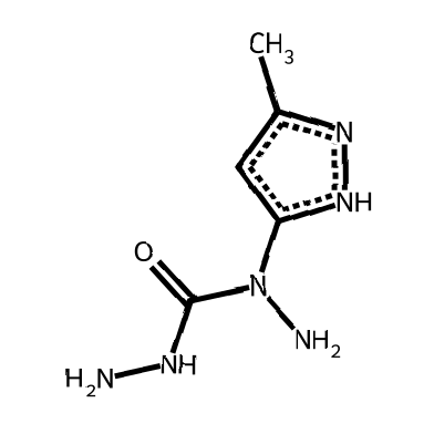 Cc1cc(N(N)C(=O)NN)[nH]n1